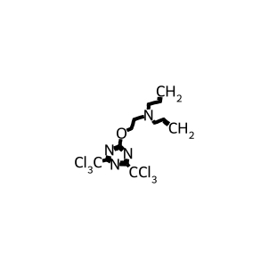 C=CCN(CC=C)CCOc1nc(C(Cl)(Cl)Cl)nc(C(Cl)(Cl)Cl)n1